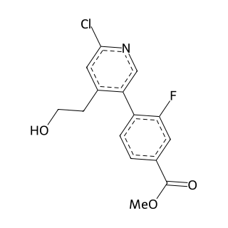 COC(=O)c1ccc(-c2cnc(Cl)cc2CCO)c(F)c1